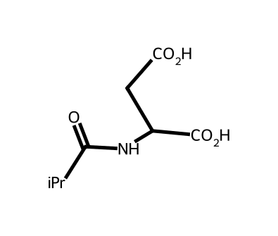 CC(C)C(=O)NC(CC(=O)O)C(=O)O